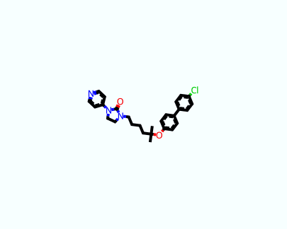 CC(C)(CCCCN1CCN(c2ccncc2)C1=O)Oc1ccc(-c2ccc(Cl)cc2)cc1